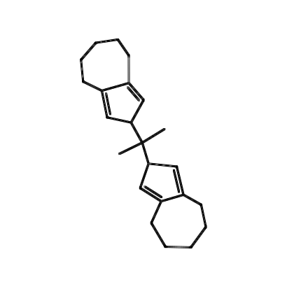 CC(C)(C1C=C2CCCCCC2=C1)C1C=C2CCCCCC2=C1